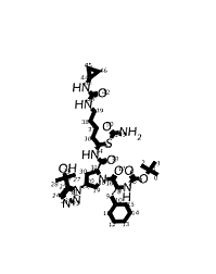 CC(C)(C)OC(=O)N[C@H](CC1CCCCC1)C(=O)N1C[C@@H](n2nncc2C(C)(C)O)C[C@H]1C(=O)NC(CCCCNC(=O)NC1CC1)SC(N)=O